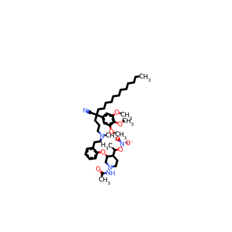 CCCCCCCCCCCCC(C#N)(CCCN(C)CCc1ccccc1OC1CN(NC(C)=O)CCC1C(C)O[N+](=O)[O-])c1cc(OC)c(OC)c(OC)c1